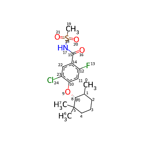 CC1CCCC(C)(C)[C@@H]1Oc1cc(F)c(C(=O)NS(C)(=O)=O)cc1Cl